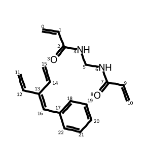 C=CC(=O)NCNC(=O)C=C.C=CC(C=C)=Cc1ccccc1